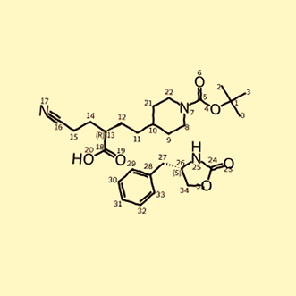 CC(C)(C)OC(=O)N1CCC(CC[C@H](CCC#N)C(=O)O)CC1.O=C1N[C@@H](Cc2ccccc2)CO1